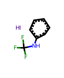 FC(F)(F)Nc1ccccc1.I